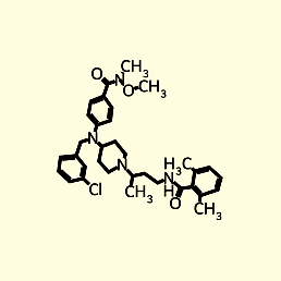 CON(C)C(=O)c1ccc(N(Cc2cccc(Cl)c2)C2CCN(C(C)CCNC(=O)c3c(C)cccc3C)CC2)cc1